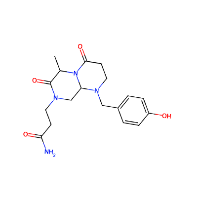 CC1C(=O)N(CCC(N)=O)CC2N(Cc3ccc(O)cc3)CCC(=O)N12